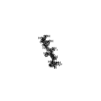 CSCC[C@H](NC(=O)[C@H](CC(C)C)NC(=O)[C@H](Cc1c[nH]cn1)NC(=O)CNC(=O)[C@@H](NC(=O)[C@H](C)NC(=O)[C@H](Cc1c[nH]c2ccccc12)NC(=O)[C@H](CCC(N)=O)NC(=O)c1ccc(NC(=O)CNC(=O)CC[C@@H](C(=O)O)N(CCN(CC(=O)O)CC(=O)O)CCN(CC(=O)O)CC(=O)O)cc1)C(C)C)C(N)=O